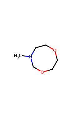 CN1CCOCCOC1